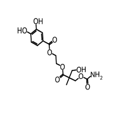 CC(CO)(COC(N)=O)C(=O)OCCOC(=O)c1ccc(O)c(O)c1